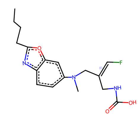 CCCCc1nc2ccc(N(C)C/C(=C/F)CNC(=O)O)cc2o1